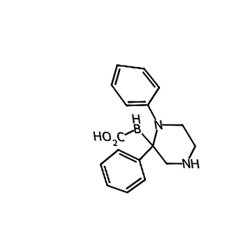 O=C(O)BC1(c2ccccc2)CNCCN1c1ccccc1